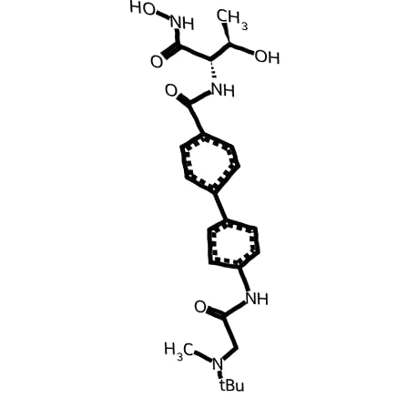 C[C@@H](O)[C@H](NC(=O)c1ccc(-c2ccc(NC(=O)CN(C)C(C)(C)C)cc2)cc1)C(=O)NO